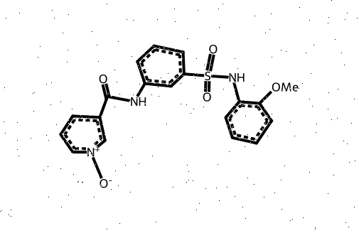 COc1ccccc1NS(=O)(=O)c1cccc(NC(=O)c2ccc[n+]([O-])c2)c1